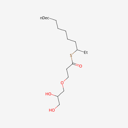 CCCCCCCCCCCCCCCC(CC)SC(=O)CCOCC(O)CO